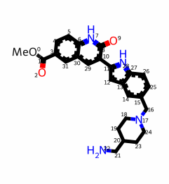 COC(=O)c1ccc2[nH]c(=O)c(-c3cc4cc(CN5CCC(CN)CC5)ccc4[nH]3)cc2c1